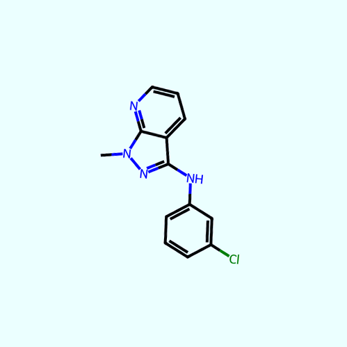 Cn1nc(Nc2cccc(Cl)c2)c2cccnc21